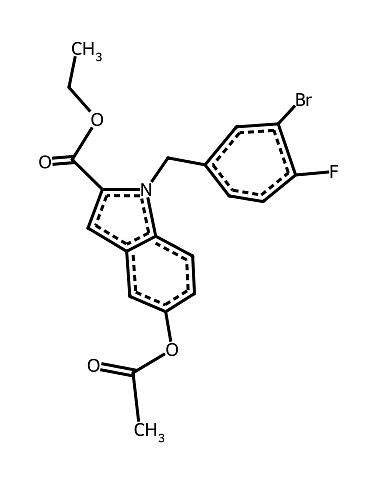 CCOC(=O)c1cc2cc(OC(C)=O)ccc2n1Cc1ccc(F)c(Br)c1